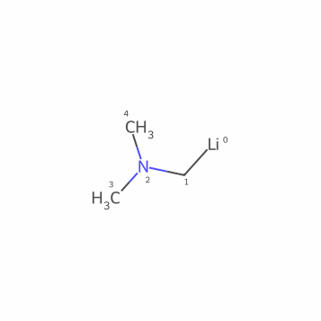 [Li][CH2]N(C)C